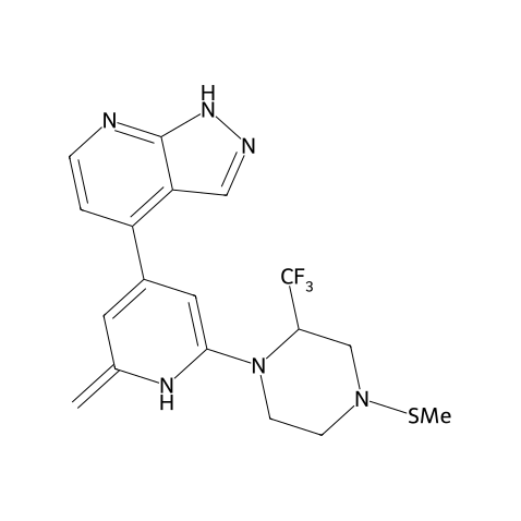 C=C1C=C(c2ccnc3[nH]ncc23)C=C(N2CCN(SC)CC2C(F)(F)F)N1